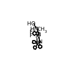 CC(NCCCO)c1cnc(OCc2ncn(C(c3ccccc3)(c3ccccc3)c3ccccc3)n2)c2cc(F)c(F)cc12